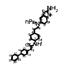 CCCN(CCC1CCC(NC(=O)Cc2ccc(-c3ccccc3)cc2)CC1)[C@H]1CCc2nc(N)sc2C1